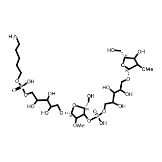 COC1C(O)[C@@H](CO)O[C@H]1OCC(O)C(O)C(O)COP(=O)(O)OC1C(OC)[C@H](OCC(O)C(O)C(O)COP(=O)(O)OCCCCCN)O[C@@H]1CO